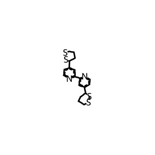 c1cc(C2CCCSS2)cc(-c2cc(C3CCCSS3)ccn2)n1